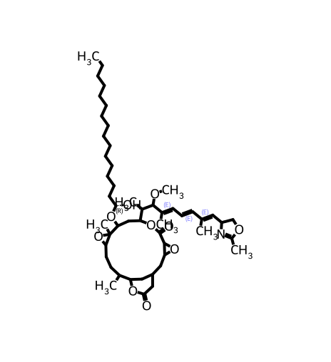 CCCCCCCCCCCCCCC[C@H](O)OC1CC(C(C)C(OC)/C(C)=C/C=C/C(C)=C/C2COC(C)=N2)OC(=O)C2OC2CC2CC(=O)OC(C2)C(C)CCC2OC12C